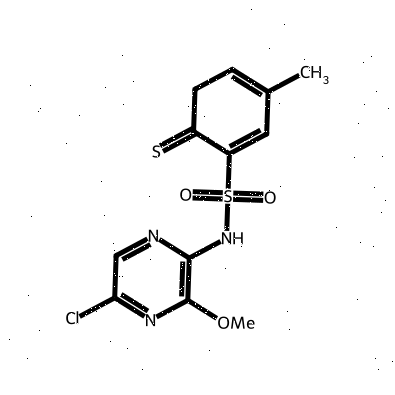 COc1nc(Cl)cnc1NS(=O)(=O)C1=CC(C)=CCC1=S